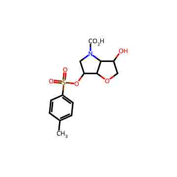 Cc1ccc(S(=O)(=O)OC2CN(C(=O)O)C3C(O)COC23)cc1